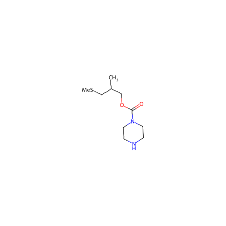 CSCC(C)COC(=O)N1CCNCC1